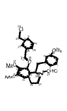 COc1cccc(CC2c3c(cc(OC)c(OC)c3OCc3cccc(CCl)c3)CCN2C=O)c1